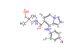 CC(C)(CO)ONC(=O)c1c(F)cn2cncc2c1Nc1ccc(I)cc1F